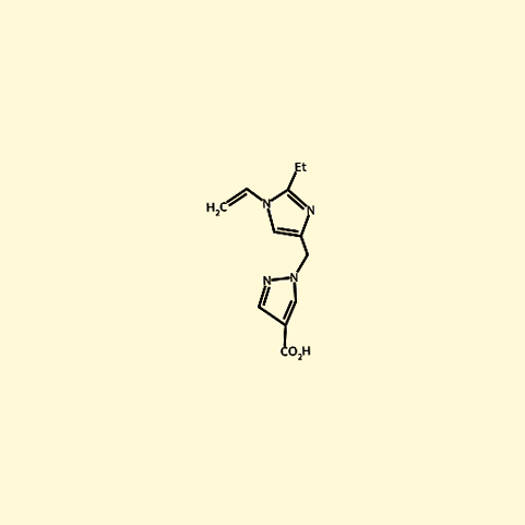 C=Cn1cc(Cn2cc(C(=O)O)cn2)nc1CC